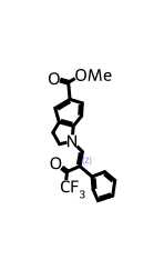 COC(=O)c1ccc2c(c1)CCN2/C=C(\C(=O)C(F)(F)F)c1ccccc1